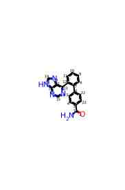 NC(=O)c1ccc(-c2ccccc2-c2ncnc3[nH]cnc23)cc1